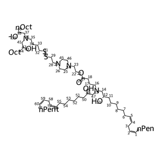 CCCCC/C=C\C/C=C\CCCCCCC(O)CN(CCCC(=O)OCCN1CCN(CCSSCCCCN(CC(O)CCCCCCCC)CC(O)CCCCCCCC)CC1)CC(O)CCCCCC/C=C\C/C=C\CCCCC